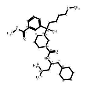 COCCCC[C@@](O)(c1cccc(C(=O)OC)c1)[C@@H]1CCCN(C(=O)N[C@@H](CC2CCCCC2)CN(C)C)C1